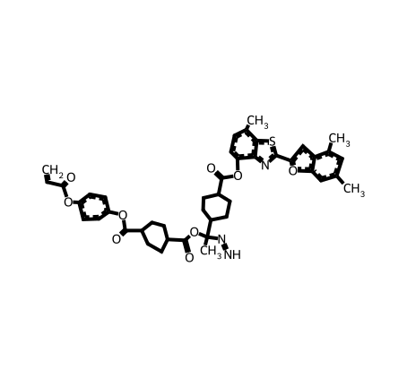 C=CC(=O)Oc1ccc(OC(=O)C2CCC(C(=O)OC(C)(N=N)C3CCC(C(=O)Oc4ccc(C)c5sc(-c6cc7c(C)cc(C)cc7o6)nc45)CC3)CC2)cc1